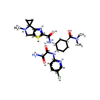 CN(C)C(=O)[C@H]1CC[C@H](N(C(=O)C(N)=O)c2ccc(Cl)cn2)[C@H](NC(=O)c2nc3c(s2)CN(C)C32CC2)C1